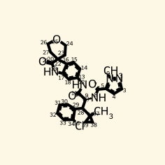 Cn1nccc1C(=O)N[C@H](C(=O)Nc1ccc2c(c1)NC(=O)C21CCOCC1)C(c1ccccc1Cl)C1(C)CC1